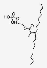 CCCCCCCCC(CCCCCCCC)=C(C)C(=O)OCCOP(=O)(O)O